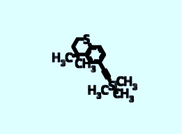 CC1(C)CCSc2ccc(C#C[Si](C)(C)C)cc21